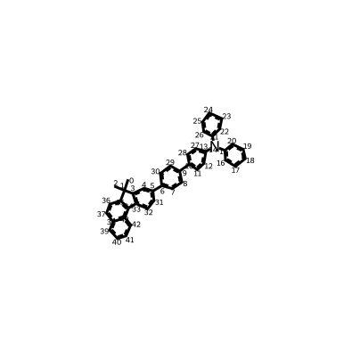 CC1(C)c2cc(-c3ccc(-c4ccc(N(c5ccccc5)c5ccccc5)cc4)cc3)ccc2-c2c1ccc1ccccc21